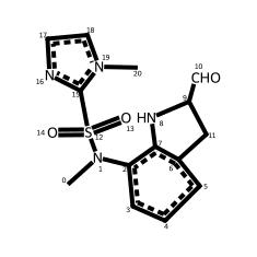 CN(c1cccc2c1NC(C=O)C2)S(=O)(=O)c1nccn1C